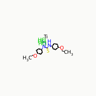 CCOc1ccc(NC(=S)Nc2ccc(OCC)cc2)cc1.Cl.Cl.Cl.[Ti]